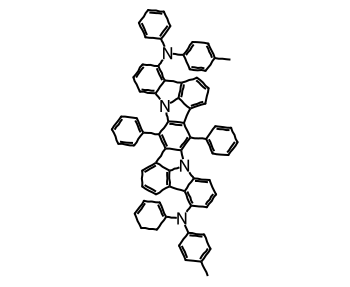 Cc1ccc(N(C2=CC=CCC2)c2cccc3c2c2cccc4c5c(-c6ccccc6)c6c(c(-c7ccccc7)c5n3c24)c2cccc3c4c(N(c5ccccc5)c5ccc(C)cc5)cccc4n6c32)cc1